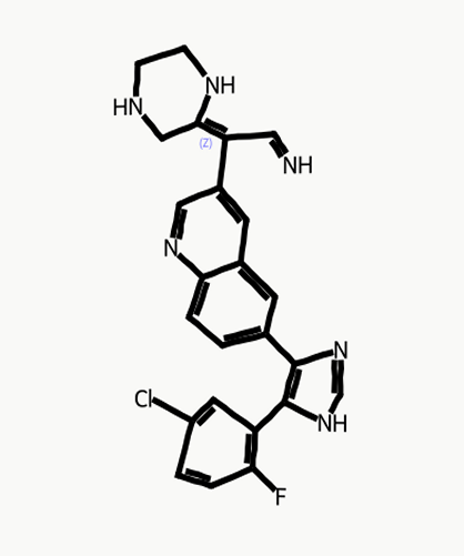 N=C/C(=C1/CNCCN1)c1cnc2ccc(-c3nc[nH]c3-c3cc(Cl)ccc3F)cc2c1